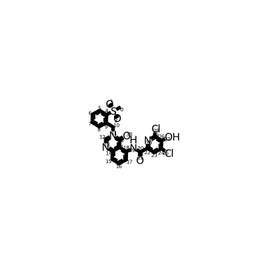 CS(=O)(=O)c1ccccc1Cn1cnc2cccc(NC(=O)c3cc(Cl)c(O)c(Cl)n3)c2c1=O